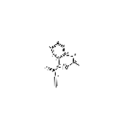 C#CC(=O)Oc1ccccc1CC(C)O